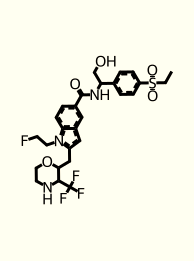 CCS(=O)(=O)c1ccc(C(CO)NC(=O)c2ccc3c(c2)cc(CC2OCCNC2C(F)(F)F)n3CCF)cc1